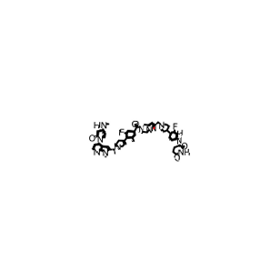 CNc1ccn(-c2ccnc3c2cc([C@H](C)N2CC=C(c4c(C)cc(C(=O)N5CCn6nc(CN7CCC(c8ccc(N[C@H]9CCC(=O)NC9=O)cc8F)CC7)cc6C5)cc4F)CC2)n3C)c(=O)c1